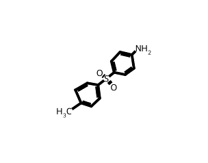 Cc1ccc(S(=O)(=O)c2ccc(N)cc2)cc1